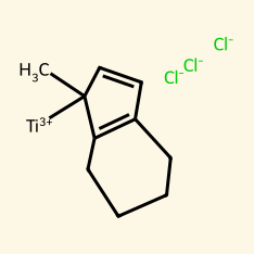 C[C]1([Ti+3])C=CC2=C1CCCC2.[Cl-].[Cl-].[Cl-]